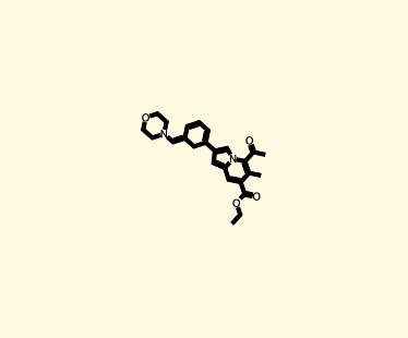 CCOC(=O)c1cc2cc(C3=CC=CC(=CN4CCOCC4)C3)cn2c(C(C)=O)c1C